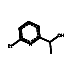 CCc1cccc(C(C)O)n1